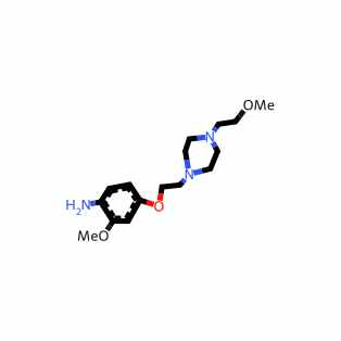 COCCN1CCN(CCOc2ccc(N)c(OC)c2)CC1